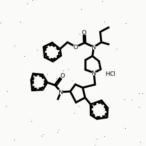 CCC(C)N(C(=O)OCc1ccccc1)C1CCN(CC2CC(N(C)C(=O)c3ccccc3)CC2c2ccccc2)CC1.Cl